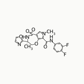 Cn1cc2c(c1C(=O)Nc1ccc(F)c(F)c1)OC[C@@](C)(c1ncco1)NS2(=O)=O